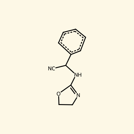 N#CC(NC1=NCCO1)c1ccccc1